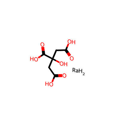 O=C(O)CC(O)(CC(=O)O)C(=O)O.[RaH2]